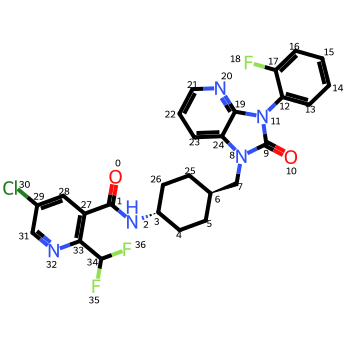 O=C(N[C@H]1CC[C@H](Cn2c(=O)n(-c3ccccc3F)c3ncccc32)CC1)c1cc(Cl)cnc1C(F)F